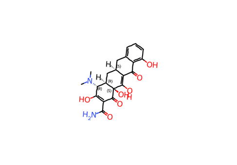 CN(C)[C@H]1C(O)=C(C(N)=O)C(=O)[C@@]2(O)C(O)=C3C(=O)c4c(O)cccc4C[C@@H]3C[C@H]12